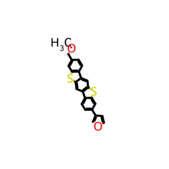 COCc1ccc2c(c1)sc1cc3c(cc12)sc1cc(-c2ccoc2)ccc13